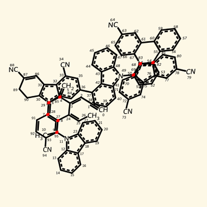 C#C/C=C(C(=C)/C=C\C=C(/C)n1c2ccccc2c2ccccc21)\C(=C/C)C1=C(n2c3c(c4c(C#N)cc(-c5cccc6c5c5ccccc5n6-c5cccc(-c6ccccc6-c6cc(C#N)ccc6-n6c7ccc(C#N)cc7c7cc(C#N)ccc76)c5)cc42)C=C(C#N)CC3)C=CC(C#N)C1